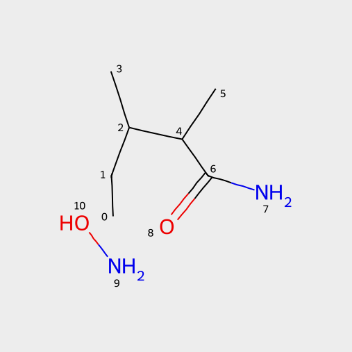 CCC(C)C(C)C(N)=O.NO